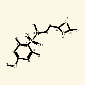 COc1cc(C)c(S(=O)(=O)N(C)CCC2OC(C)O2)c(C)c1